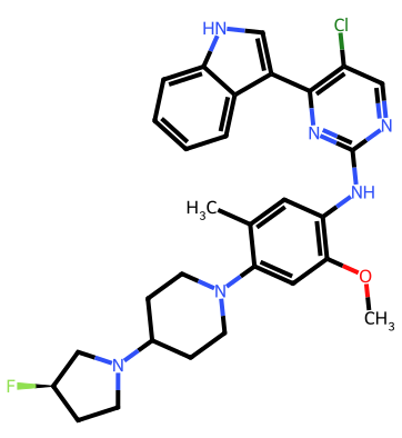 COc1cc(N2CCC(N3CC[C@@H](F)C3)CC2)c(C)cc1Nc1ncc(Cl)c(-c2c[nH]c3ccccc23)n1